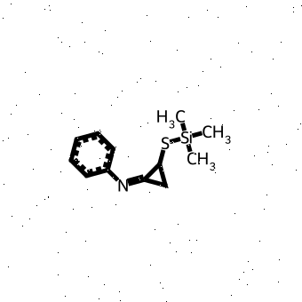 C[Si](C)(C)SC1C/C1=N/c1ccccc1